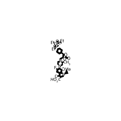 CCOP(=O)(CP(=O)(CC)c1ccc(-c2oc(=O)oc2CN2CCN(c3c(F)cc4c(=O)c(C(=O)O)cn(C5CC5)c4c3OC)CC2C)cc1)OCC